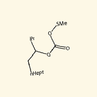 CCCCCCCCC(OC(=O)OSC)C(C)C